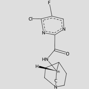 O=C(N[C@H]1CN2CCC1CC2)c1ncc(F)c(Cl)n1